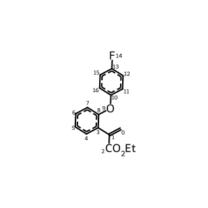 C=C(C(=O)OCC)c1ccccc1Oc1ccc(F)cc1